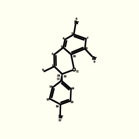 CC1=Cc2cc(Br)cc(Br)c2O[C@H]1c1ccc(Br)cc1